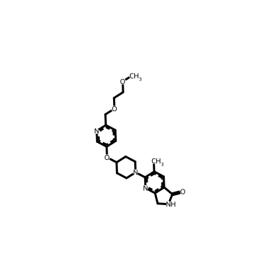 COCCOCc1ccc(OC2CCN(c3nc4c(cc3C)C(=O)NC4)CC2)cn1